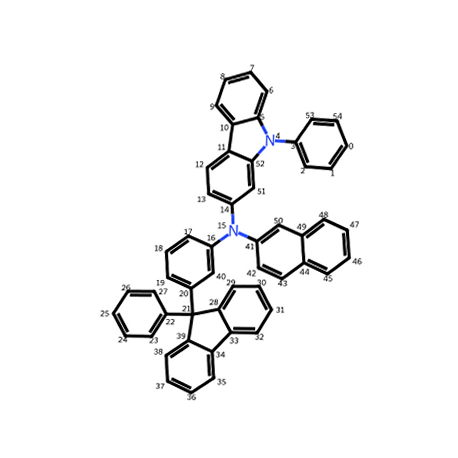 c1ccc(-n2c3ccccc3c3ccc(N(c4cccc(C5(c6ccccc6)c6ccccc6-c6ccccc65)c4)c4ccc5ccccc5c4)cc32)cc1